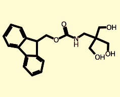 O=C(NCC(CO)(CO)CO)OCC1c2ccccc2-c2ccccc21